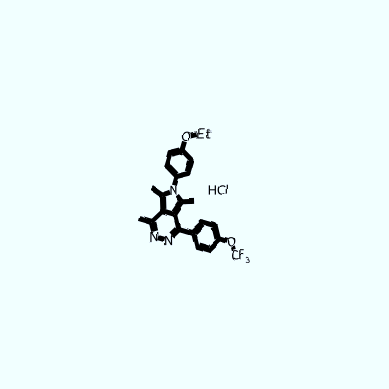 CCOc1ccc(-n2c(C)c3c(C)nnc(-c4ccc(OC(F)(F)F)cc4)c3c2C)cc1.Cl